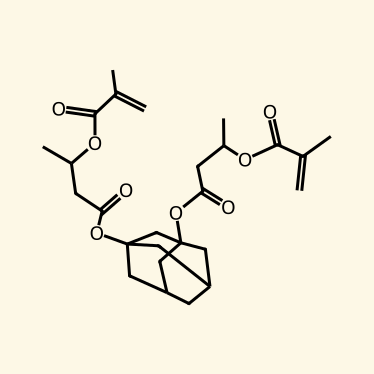 C=C(C)C(=O)OC(C)CC(=O)OC12CC3CC(C1)CC(OC(=O)CC(C)OC(=O)C(=C)C)(C3)C2